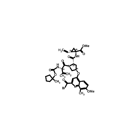 C=C[C@@H]1C[C@]1(NC(=O)[C@@H]1C[C@@H](Oc2cc(C(=O)Br)nc3c(C)c(OC)ccc23)CN1C(=O)[C@@H](NC(=O)OC1(C)CCCC1)C(=C)C)C(=O)OC